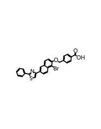 O=C(O)c1ccc(COc2ccc3cc(-c4csc(-c5ccccc5)n4)ccc3c2Br)cc1